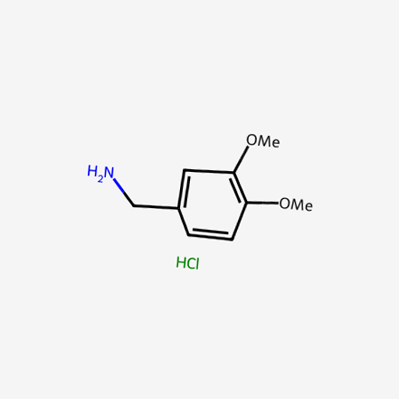 COc1ccc(CN)cc1OC.Cl